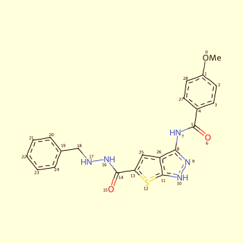 COc1ccc(C(=O)Nc2n[nH]c3sc(C(=O)NNCc4ccccc4)cc23)cc1